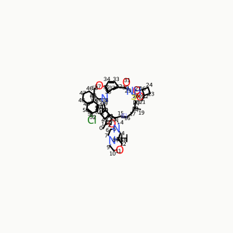 CCO[C@]1(CN2CCN3CCOC[C@@H]3C2)/C=C/C[C@H](C)[C@@H](CC2CCC2)S(=O)(=O)NC(=O)c2ccc3c(c2)N(C[C@@H]2CC[C@H]21)C[C@@]1(CCCc2cc(Cl)ccc21)CO3